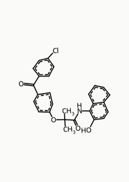 CC(C)(Oc1ccc(C(=O)c2ccc(Cl)cc2)cc1)C(=O)Nc1c(O)ccc2ccccc12